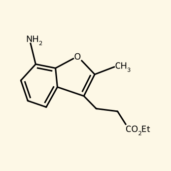 CCOC(=O)CCc1c(C)oc2c(N)cccc12